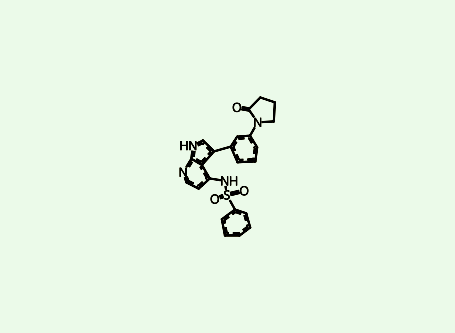 O=C1CCCN1c1cccc(-c2c[nH]c3nccc(NS(=O)(=O)c4ccccc4)c23)c1